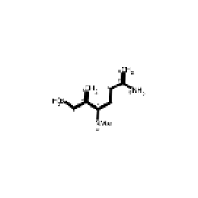 BCC(=C)C(CCC(=C)N)NC